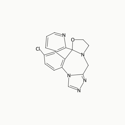 Clc1ccc2c(c1)C1(c3ccccn3)OCCN1Cc1nncn1-2